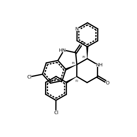 O=C1C[C@@H](c2cccc(Cl)c2)[C@]2(C(=O)Nc3cc(Cl)ccc32)[C@@H](c2cccnc2)N1